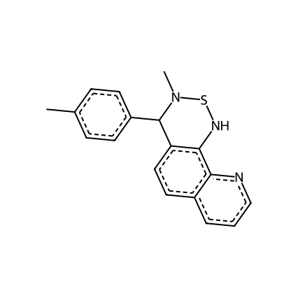 Cc1ccc(C2c3ccc4cccnc4c3NSN2C)cc1